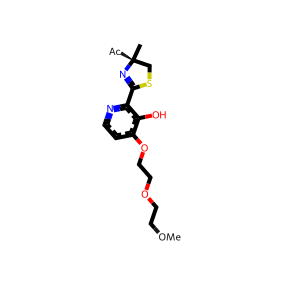 COCCOCCOc1ccnc(C2=N[C@@](C)(C(C)=O)CS2)c1O